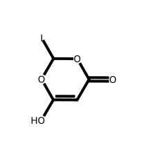 O=C1C=C(O)OC(I)O1